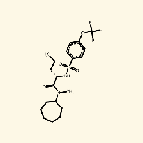 CCC[C@H](NS(=O)(=O)c1ccc(OC(F)(F)F)cc1)C(=O)N(C)C1CCCCCC1